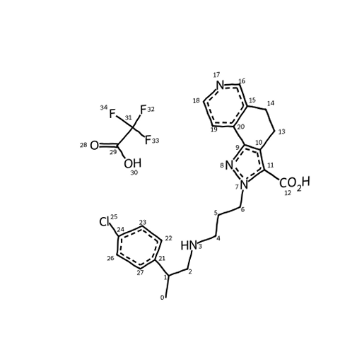 CC(CNCCCn1nc2c(c1C(=O)O)CCc1cnccc1-2)c1ccc(Cl)cc1.O=C(O)C(F)(F)F